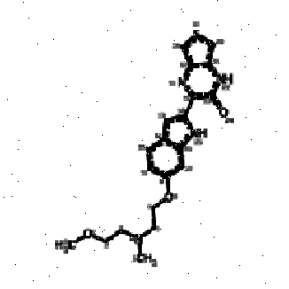 COCCN(C)CCOc1ccc2cc(-c3nc4cscc4[nH]c3=O)[nH]c2c1